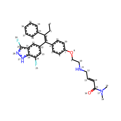 CCC(=C(c1ccc(OCCNCC=CC(=O)N(C)C)cc1)c1cc(F)c2[nH]nc(F)c2c1)c1ccccc1